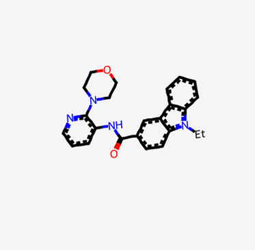 CCn1c2ccccc2c2cc(C(=O)Nc3cccnc3N3CCOCC3)ccc21